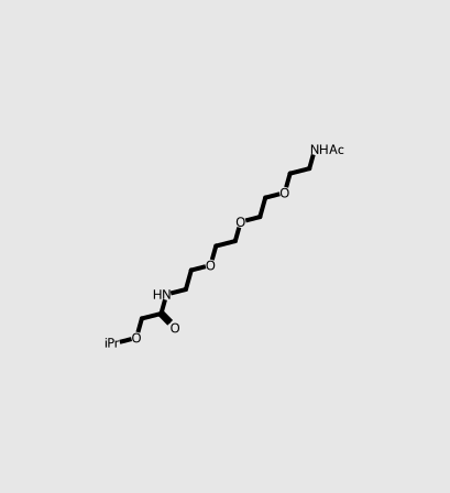 CC(=O)NCCOCCOCCOCCNC(=O)COC(C)C